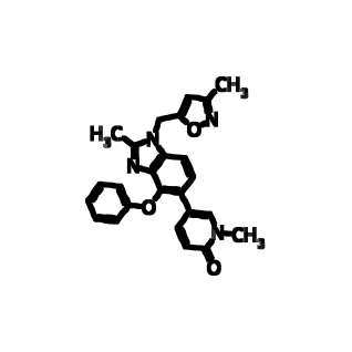 Cc1cc(Cn2c(C)nc3c(Oc4ccccc4)c(-c4ccc(=O)n(C)c4)ccc32)on1